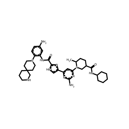 CC1CCC(C(=O)NC2CCCCC2)CN1c1cc(-c2c[nH]c(C(=O)Nc3cc(N)ccc3N3CCC4(CCCNC4)CC3)n2)nc(N)n1